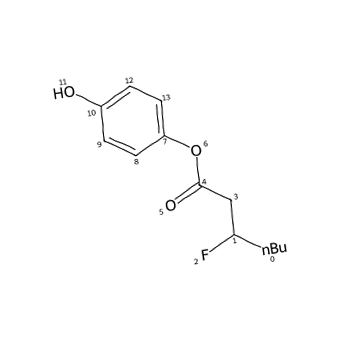 CCCCC(F)CC(=O)Oc1ccc(O)cc1